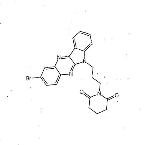 O=C1CCCC(=O)N1CCCn1c2ccccc2c2nc3cc(Br)ccc3nc21